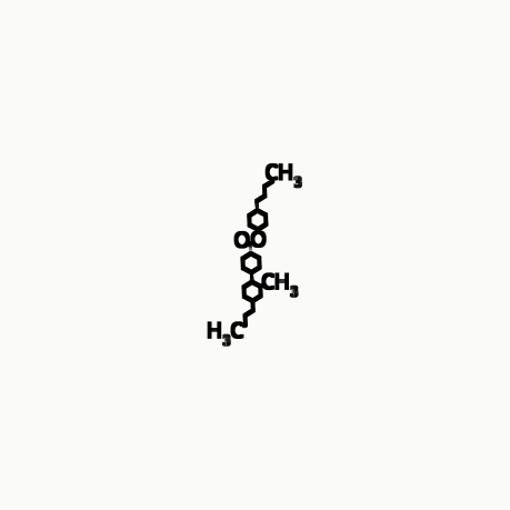 CCCCC[C@H]1CC[C@H](OC(=O)[C@H]2CC[C@H](C3CCC(CCCC)CC3C)CC2)CC1